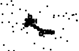 COC(=O)CCCC=CCn1[nH]c(=O)n(C)c1=O